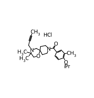 CC#CCN1CC2(CCN(C(=O)c3ccc(OC(C)C)c(C)c3)CC2)OCC1(C)C.Cl